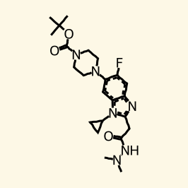 CN(C)NC(=O)Cc1nc2cc(F)c(N3CCN(C(=O)OC(C)(C)C)CC3)cc2n1C1CC1